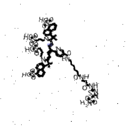 CC1(C)C(=CC=C(/C=C/C2N(CCCS(=O)(=O)O)c3ccc4c(S(=O)(=O)O)cccc4c3C2(C)C)c2ccc(C(=O)NCCCCCC(=O)NCCC(=O)Nc3nnc(S(N)(=O)=O)s3)cn2)N(CCCS(=O)(=O)O)c2ccc3c(S(=O)(=O)O)cccc3c21